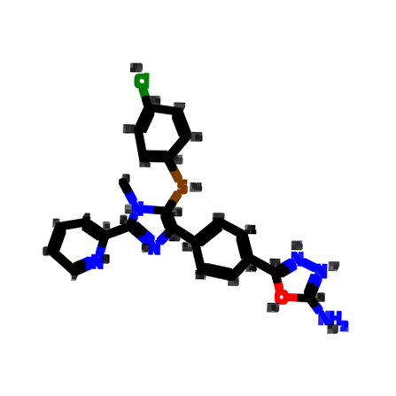 Cn1c(-c2ccccn2)nc(-c2ccc(-c3nnc(N)o3)cc2)c1Sc1ccc(Cl)cc1